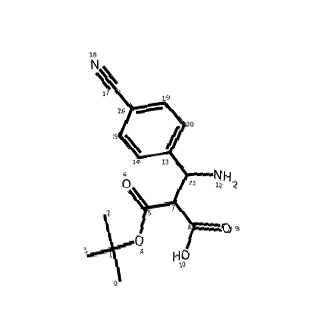 CC(C)(C)OC(=O)C(C(=O)O)C(N)c1ccc(C#N)cc1